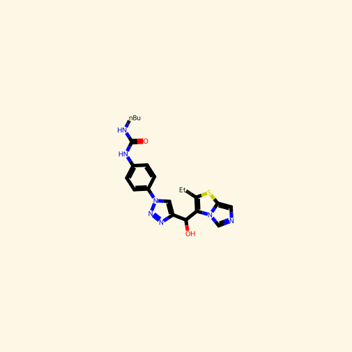 CCCCNC(=O)Nc1ccc(-n2cc(C(O)c3c(CC)sc4cncn34)nn2)cc1